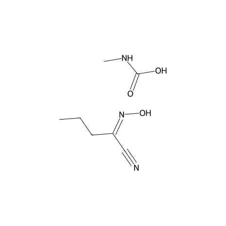 CCCC(C#N)=NO.CNC(=O)O